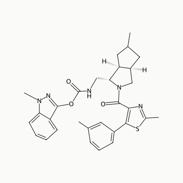 Cc1cccc(-c2sc(C)nc2C(=O)N2C[C@@H]3CC(C)C[C@@H]3[C@H]2CNC(=O)Oc2nn(C)c3ccccc23)c1